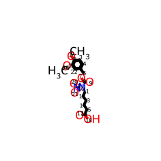 COc1ccc(COC(=O)N(CCCCCC(=O)O)[N+](=O)[O-])cc1OC